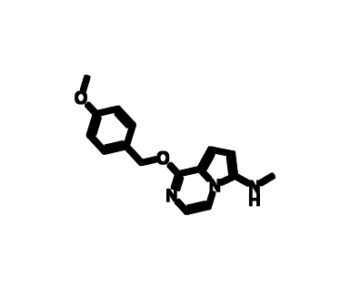 CNc1ccc2c(OCc3ccc(OC)cc3)nccn12